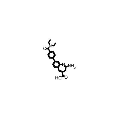 CCN(CC)C(=O)c1ccc(-c2ccc3c(c2)N=C(N)CC(C(=O)O)=C3)cc1